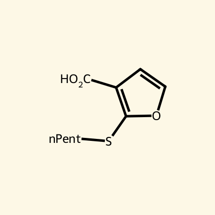 CCCCCSc1occc1C(=O)O